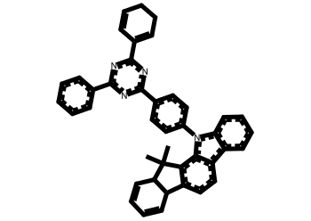 CC1(C)c2c(ccc3c4ccccc4n(-c4ccc(-c5nc(C6=CCCC=C6)nc(-c6ccccc6)n5)cc4)c23)C2C=CC=CC21